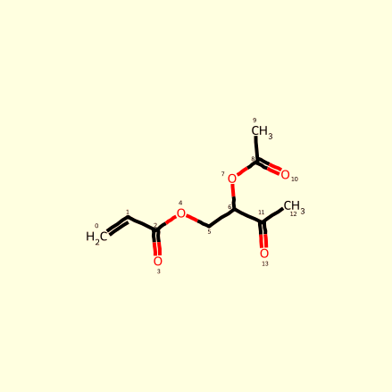 C=CC(=O)OCC(OC(C)=O)C(C)=O